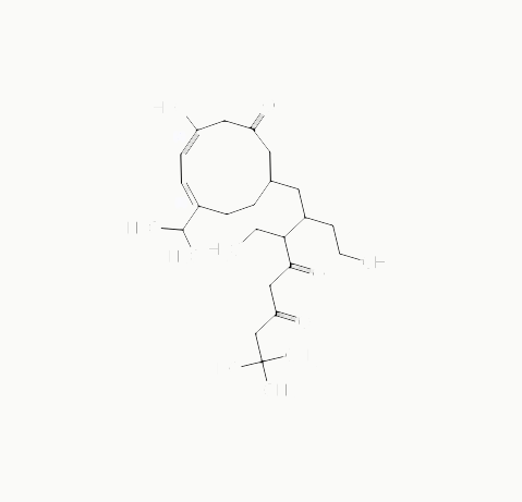 CCCC(CC1CC/C(C(C)C)=C\C=C(\C)CC(=O)C1)C(CC)C(=O)CC(=O)CC(C)(C)C